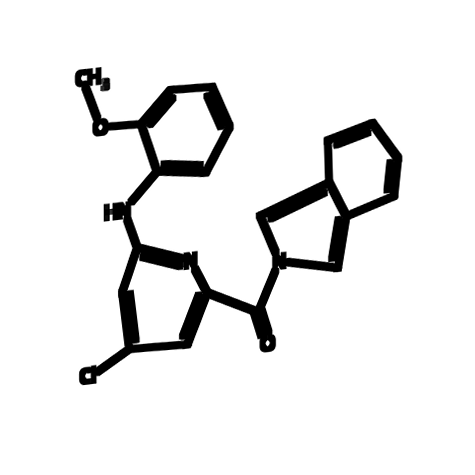 COc1ccccc1Nc1cc(Cl)cc(C(=O)n2cc3ccccc3c2)n1